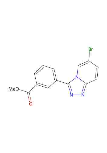 COC(=O)c1cccc(-c2nnc3ccc(Br)cn23)c1